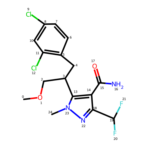 COCC(Cc1ccc(Cl)cc1Cl)c1c(C(N)=O)c(C(F)F)nn1C